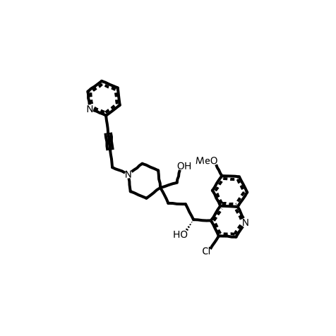 COc1ccc2ncc(Cl)c([C@H](O)CCC3(CO)CCN(CC#Cc4ccccn4)CC3)c2c1